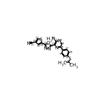 CC(C)Sc1ccc(-c2cnc(N)c(-c3nnc(-c4cc(C#N)cs4)o3)n2)cc1